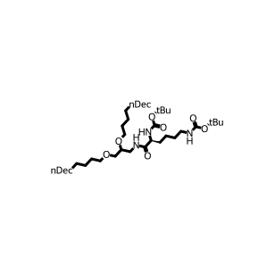 CCCCCCCCCCCCCCOCC(CNC(=O)[C@H](CCCCNC(=O)OC(C)(C)C)NC(=O)OC(C)(C)C)OCCCCCCCCCCCCCC